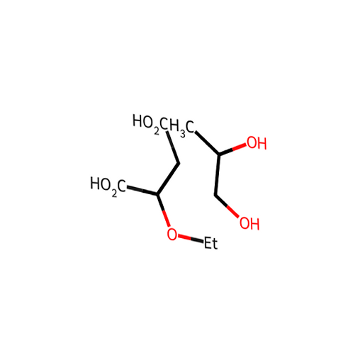 CC(O)CO.CCOC(CC(=O)O)C(=O)O